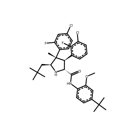 COc1cc(C(C)(C)C)ccc1NC(=O)[C@@H]1N[C@@H](CC(C)(C)C)[C@](C)(c2ccc(Cl)cc2F)[C@H]1c1cccc(Cl)c1F